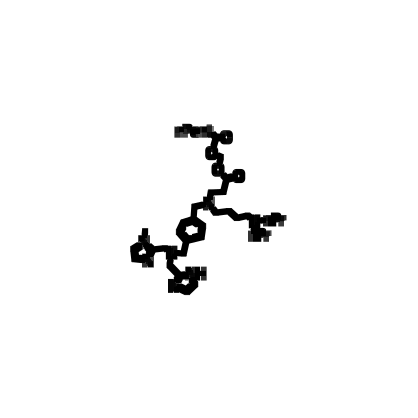 CCCCCC(=O)OCOC(=O)CCN(CCCCN(CCC)CCC)Cc1ccc(CN(Cc2ncc[nH]2)Cc2nccn2C)cc1